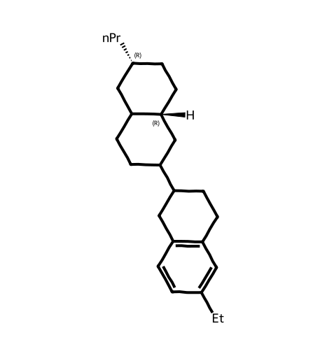 CCC[C@@H]1CC[C@@H]2CC(C3CCc4cc(CC)ccc4C3)CCC2C1